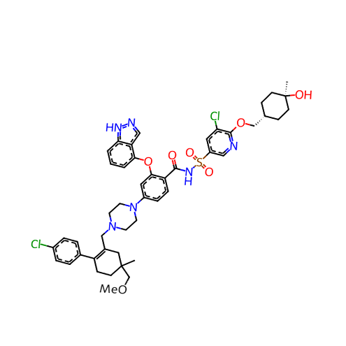 COCC1(C)CCC(c2ccc(Cl)cc2)=C(CN2CCN(c3ccc(C(=O)NS(=O)(=O)c4cnc(OC[C@H]5CC[C@](C)(O)CC5)c(Cl)c4)c(Oc4cccc5[nH]ncc45)c3)CC2)C1